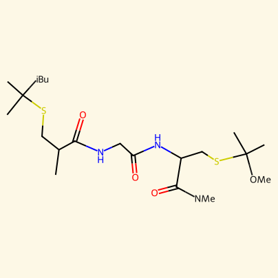 CCC(C)C(C)(C)SCC(C)C(=O)NCC(=O)NC(CSC(C)(C)OC)C(=O)NC